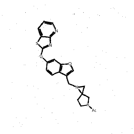 CC(=O)N1CCC2(C1)CN2Cc1coc2cc(Oc3nc4ncccc4s3)ccc12